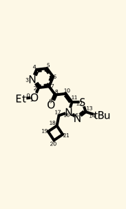 CCOc1ncccc1C(=O)C=C1SC(C(C)(C)C)=NN1CC1CCC1